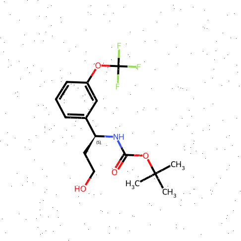 CC(C)(C)OC(=O)N[C@@H](CCO)c1cccc(OC(F)(F)F)c1